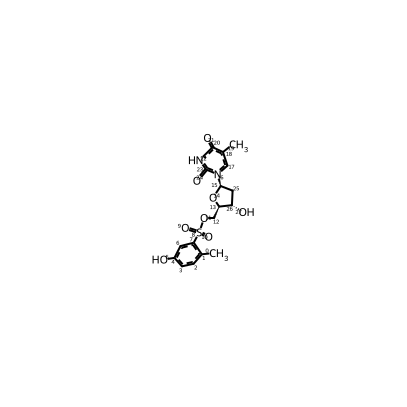 Cc1ccc(O)cc1S(=O)(=O)OC[C@H]1O[C@@H](n2cc(C)c(=O)[nH]c2=O)C[C@@H]1O